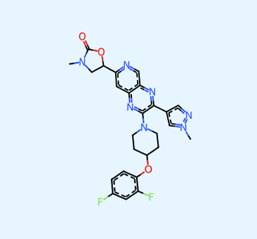 CN1CC(c2cc3nc(N4CCC(Oc5ccc(F)cc5F)CC4)c(-c4cnn(C)c4)nc3cn2)OC1=O